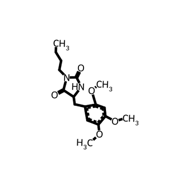 CCCCN1C(=O)NC(Cc2cc(OC)c(OC)cc2OC)C1=O